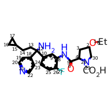 CCOC1CC(C(=O)Nc2cc(C(N)(CCC3CC3)c3ccncc3)ccc2F)N(C(=O)O)C1